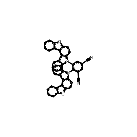 N#Cc1cc(C#N)c(-n2c3ccccc3c3c4c(ccc32)oc2ccccc24)c(-n2c3ccccc3c3c4c(ccc32)oc2ccccc24)c1